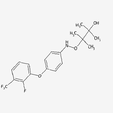 CC(C)(O)C(C)(C)ONc1ccc(Oc2cccc(C(F)(F)F)c2F)cc1